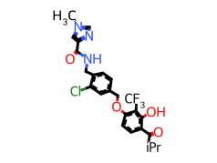 CC(C)C(=O)c1ccc(OCc2ccc(CNC(=O)c3cn(C)cn3)c(Cl)c2)c(C(F)(F)F)c1O